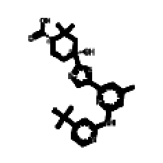 Cc1cc(Nc2cc(C(C)(C)C)ccn2)nc(-c2cnc([C@@]3(O)CC[C@H](C(=O)O)C(C)(C)C3)s2)c1